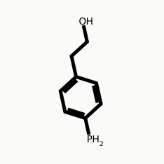 OCCc1ccc(P)cc1